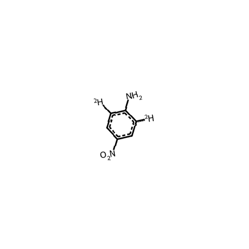 [2H]c1cc([N+](=O)[O-])cc([2H])c1N